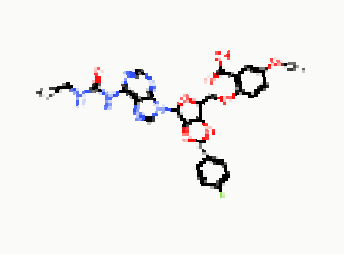 CCNC(=O)Nc1ncnc2c1ncn2C1OC(COc2ccc(OC)cc2C(=O)O)C2O[C@H](c3ccc(F)cc3)OC21